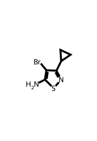 Nc1snc(C2CC2)c1Br